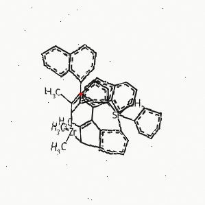 CC1=C(c2cccc3ccccc23)c2c3cccc2[Si](C)(c2ccccc2)c2cccc4c2C(c2cccc5ccccc25)=C(C)[CH]4[Zr]([CH3])([CH3])[CH]13